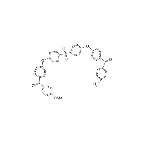 COc1ccc(C(=O)c2ccc(Oc3ccc(S(=O)(=O)c4ccc(Oc5ccc(C(=O)c6ccc(C)cc6)cc5)cc4)cc3)cc2)cc1